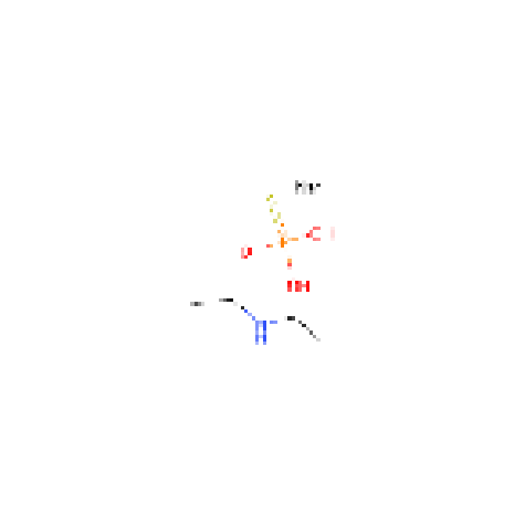 CCNCC.[Na+].[O-]P(O)(O)=S